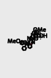 COc1ccc(C(Nc2ncnc3c2ncn3[C@@H]2O[C@H]([C@@H](C)O)[C@H]3OC(OC)O[C@H]32)(c2ccccc2)c2ccccc2)cc1